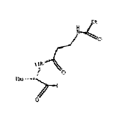 CCC(=O)NCCC(=O)N[C@H](C(=O)I)[C@@H](C)CC